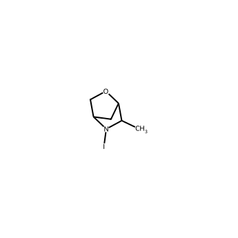 CC1C2CC(CO2)N1I